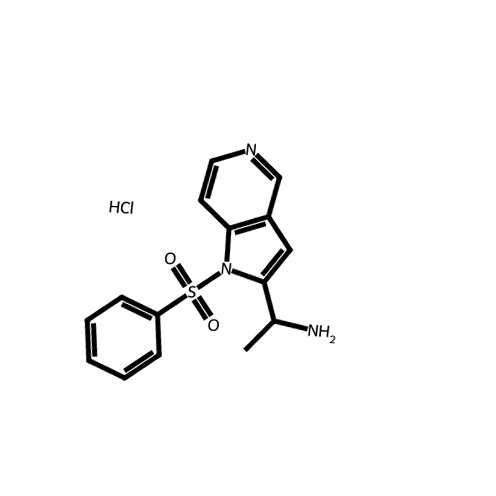 CC(N)c1cc2cnccc2n1S(=O)(=O)c1ccccc1.Cl